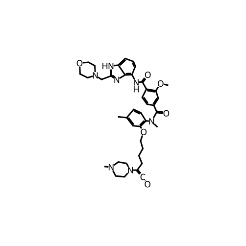 COc1cc(C(=O)N(C)c2ccc(C)cc2OCCCCC(=C=O)N2CCN(C)CC2)ccc1C(=O)Nc1cccc2[nH]c(CN3CCOCC3)nc12